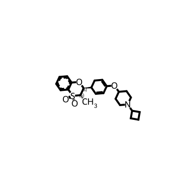 C[C@H]1[C@H](C2C=CC(OC3CCN(C4CCC4)CC3)=CC2)Oc2ccccc2S1(=O)=O